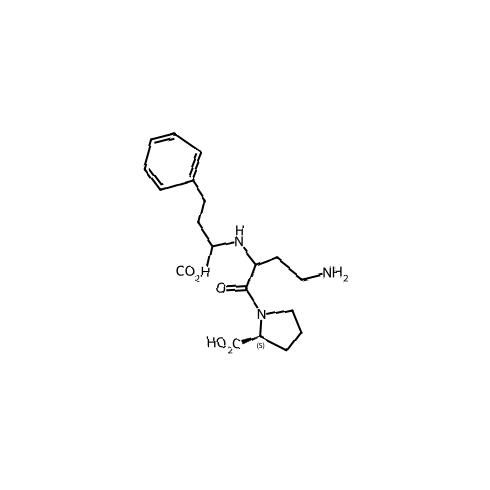 NCCC(NC(CCc1ccccc1)C(=O)O)C(=O)N1CCC[C@H]1C(=O)O